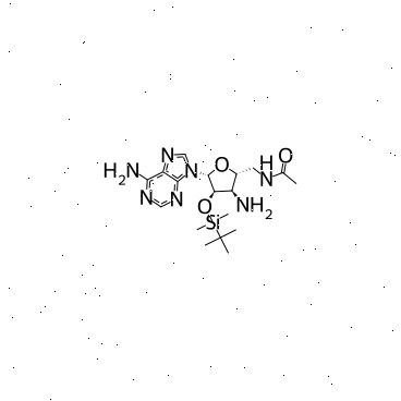 CC(=O)NC[C@H]1O[C@@H](n2cnc3c(N)ncnc32)[C@H](O[Si](C)(C)C(C)(C)C)[C@@H]1N